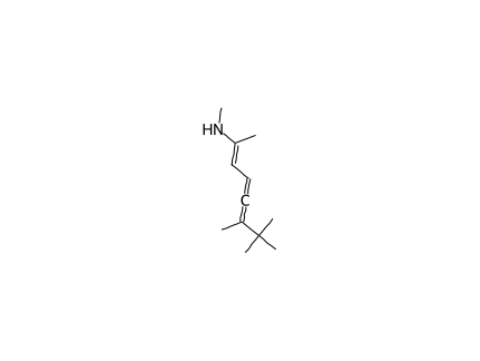 CN/C(C)=C/C=C=C(C)C(C)(C)C